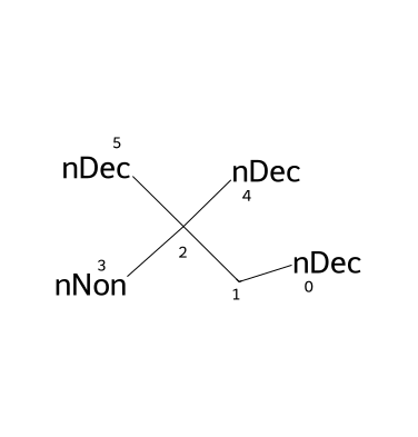 CCCCCCCCCCCC(CCCCCCCCC)(CCCCCCCCCC)CCCCCCCCCC